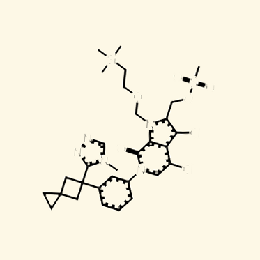 Cn1cnnc1C1(c2cccc(-n3cc(Cl)c4c(Cl)c(COS(C)(=O)=O)n(COCC[Si](C)(C)C)c4c3=O)c2)CC2(CC2)C1